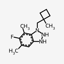 Cc1cc2c(c(C)c1F)N(CC1(C)CCC1)NN2